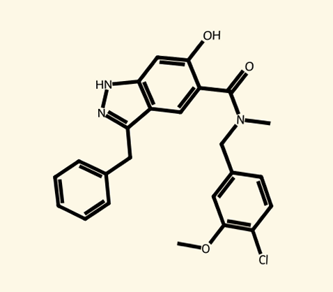 COc1cc(CN(C)C(=O)c2cc3c(Cc4ccccc4)n[nH]c3cc2O)ccc1Cl